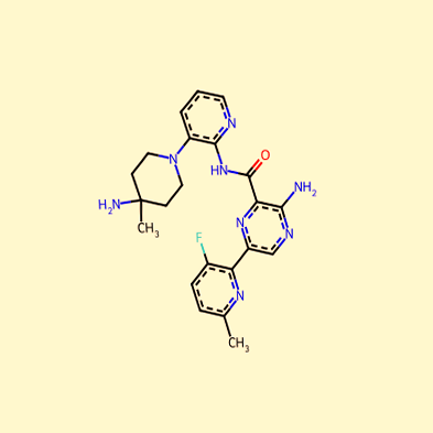 Cc1ccc(F)c(-c2cnc(N)c(C(=O)Nc3ncccc3N3CCC(C)(N)CC3)n2)n1